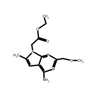 CCOC(=O)Cn1c(C)cc2c(N)nc(COC)nc21